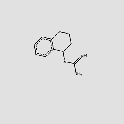 N=C(N)SC1CCCc2ccccc21